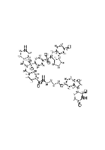 O=C1CCC(c2coc3ccc(OCCCCNC(=O)c4ccc(CN(CC5CCNCC5)S(=O)(=O)c5ccc(S(=O)(=O)N(Cc6ccc(Cl)cc6)C6CCCC6)cc5)cc4)cc23)C(=O)N1